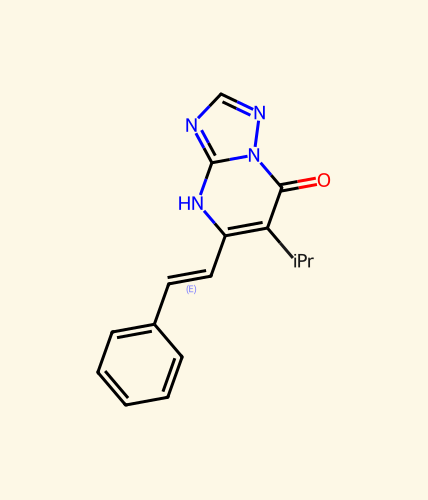 CC(C)c1c(/C=C/c2ccccc2)[nH]c2ncnn2c1=O